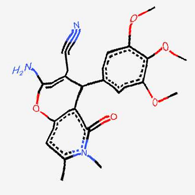 COc1cc(C2C(C#N)=C(N)Oc3cc(C)n(C)c(=O)c32)cc(OC)c1OC